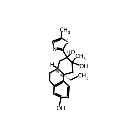 CC[C@@]12CC(C)(O)C(O)(c3ncc(C)s3)C[C@H]1CCc1cc(O)ccc12